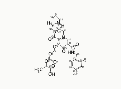 CC(OC(=O)OCOc1c2n(cc(C(=O)NCc3ccc(F)cc3F)c1=O)C[C@@H]1N(C[C@H]3CCCN31)C2=O)C(=O)O